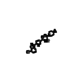 C[C@H](NC(=O)c1ccc(-n2ncc3c(Cl)cccc32)nc1)C(=O)N1CCC2(CC1)CC2